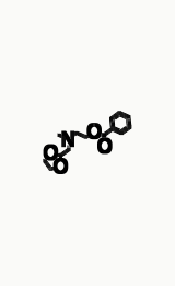 CN(CCOC(=O)c1ccccc1)CC1OCCO1